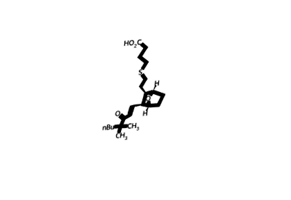 CCCCC(C)(C)C(=O)/C=C/[C@H]1[C@@H](CCSCCCC(=O)O)[C@H]2CC[C@@H]1O2